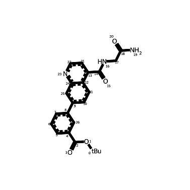 CC(C)(C)OC(=O)c1cccc(-c2ccc3c(C(=O)NCC(N)=O)ccnc3c2)c1